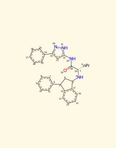 CCC[C@H](NC1CC(c2ccccc2)c2ccccc21)C(=O)Nc1cc(-c2ccccc2)n[nH]1